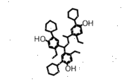 CCc1cc(O)c(C2CCCCC2)cc1C(C)CC(c1cc(C2CCCCC2)c(O)cc1CC)c1cc(C2CCCCC2)c(O)cc1CC